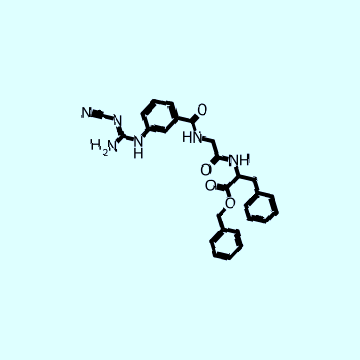 N#CN=C(N)Nc1cccc(C(=O)NCC(=O)NC(Cc2ccccc2)C(=O)OCc2ccccc2)c1